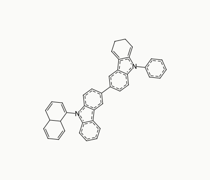 C1=CC2C=CC=C(n3c4ccccc4c4cc(-c5ccc6c(c5)c5c(n6-c6ccccc6)=CCCC=5)ccc43)C2C=C1